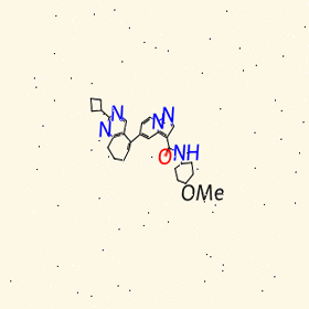 CO[C@H]1CC[C@H](NC(=O)c2cnn3ccc(C4=CCCCc5nc(C6CCC6)ncc54)cc23)CC1